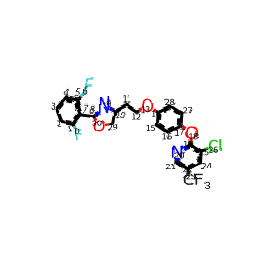 Fc1cccc(F)c1C1=NC(CCOc2ccc(Oc3ncc(C(F)(F)F)cc3Cl)cc2)CO1